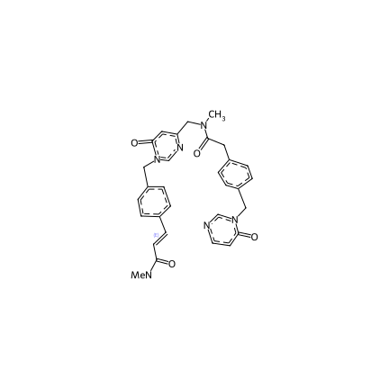 CNC(=O)/C=C/c1ccc(Cn2cnc(CN(C)C(=O)Cc3ccc(Cn4cnccc4=O)cc3)cc2=O)cc1